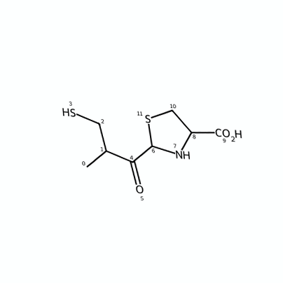 CC(CS)C(=O)C1NC(C(=O)O)CS1